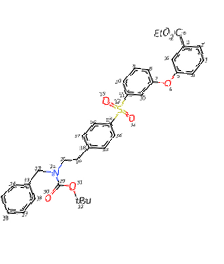 CCOC(=O)c1cccc(Oc2cccc(S(=O)(=O)c3ccc(CCN(Cc4ccccc4)C(=O)OC(C)(C)C)cc3)c2)c1